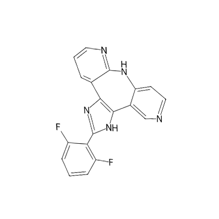 Fc1cccc(F)c1-c1nc2c([nH]1)-c1cnccc1Nc1ncccc1-2